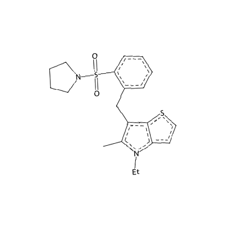 CCn1c(C)c(Cc2ccccc2S(=O)(=O)N2CCCC2)c2sccc21